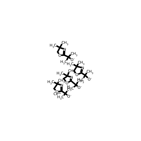 CC1(C)COC(C(C)(C)[O-])=N1.CC1(C)COC(C(C)(C)[O-])=N1.CC1(C)COC(C(C)(C)[O-])=N1.CC1(C)COC(C(C)(C)[O-])=N1.[Ce+4]